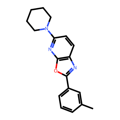 Cc1cccc(-c2nc3ccc(N4CCCCC4)nc3o2)c1